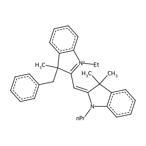 CCCN1C(=CC2=[N+](CC)c3ccccc3C2(C)Cc2ccccc2)C(C)(C)c2ccccc21